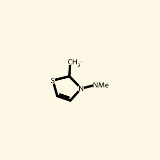 [CH2]C1SC=CN1NC